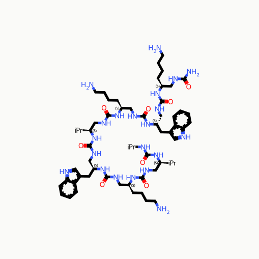 CC(C)NC(=O)N[C@H](CNC(=O)N[C@@H](CCCCN)CNC(=O)N[C@H](CNC(=O)N[C@H](CNC(=O)N[C@@H](CCCCN)CNC(=O)N[C@H](CNC(=O)N[C@@H](CCCCN)CNC(N)=O)Cc1c[nH]c2ccccc12)C(C)C)Cc1c[nH]c2ccccc12)C(C)C